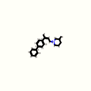 CC(=CCN1CCCC(C)C1)c1ccc(-c2ccccc2)cc1